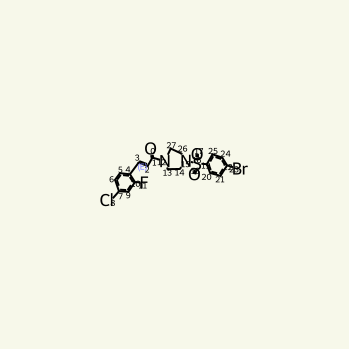 O=C(/C=C/c1ccc(Cl)cc1F)N1CCN(S(=O)(=O)c2ccc(Br)cc2)CC1